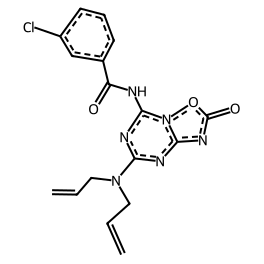 C=CCN(CC=C)c1nc(NC(=O)c2cccc(Cl)c2)n2oc(=O)nc2n1